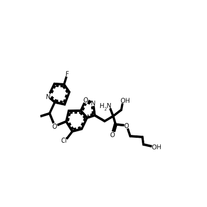 CC(Oc1cc2onc(CC(N)(CO)C(=O)OCCCO)c2cc1Cl)c1ccc(F)cn1